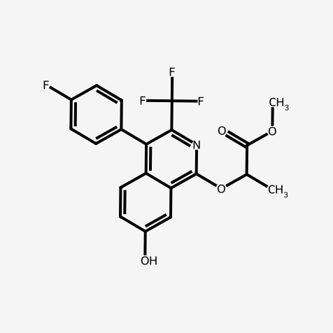 COC(=O)C(C)Oc1nc(C(F)(F)F)c(-c2ccc(F)cc2)c2ccc(O)cc12